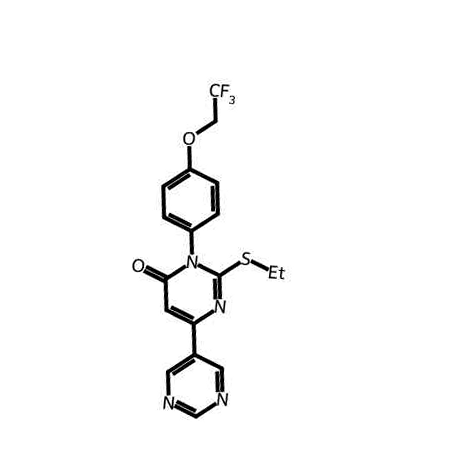 CCSc1nc(-c2cncnc2)cc(=O)n1-c1ccc(OCC(F)(F)F)cc1